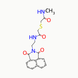 CNC(=O)CSCC(=O)NCCN1C(=O)c2cccc3cccc(c23)C1=O